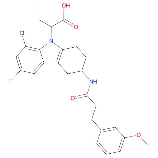 CCC(C(=O)O)n1c2c(c3cc(F)cc(Cl)c31)CC(NC(=O)CCc1cccc(OC)c1)CC2